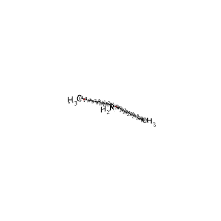 CCCCCCCCCCCCCCCCC(N)CCCCCCCCCCCCCCC